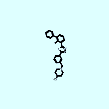 Cc1c(-c2ccccc2)cccc1-c1nnc(-c2cccc(CN3CCC(O)CC3)c2)o1